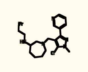 CC(C)CCNC1CCCCN(Cc2c(-c3cccnc3)nn(C)c2Cl)C1